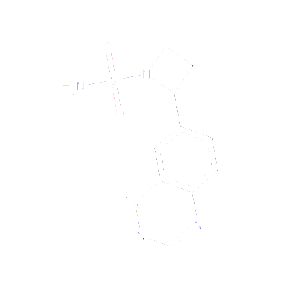 NS(=O)(=O)N1CCC1c1ccc2c(c1)SNC=N2